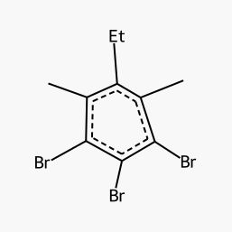 CCc1c(C)c(Br)c(Br)c(Br)c1C